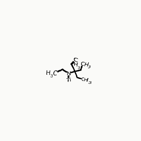 CC[N]([Ti])C(CC)(CC)CC